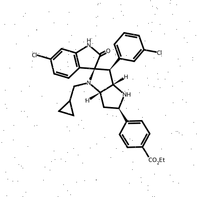 CCOC(=O)c1ccc([C@H]2C[C@H]3[C@@H](N2)[C@H](c2cccc(Cl)c2)[C@]2(C(=O)Nc4cc(Cl)ccc42)N3CC2CC2)cc1